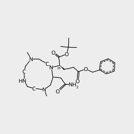 CN1CCNCCN(C)CC(CC(N)=O)N([C@H](CCC(=O)OCc2ccccc2)C(=O)OC(C)(C)C)CC1